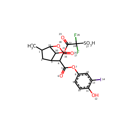 CC1CC2C(C(=O)Oc3ccc(O)c(I)c3)C(=O)OC1C2OC(=O)C(F)(F)S(=O)(=O)O